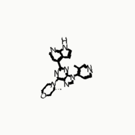 Cc1cnccc1-n1cnc2c(N3CCOC[C@H]3C)nc(-c3ccnc4[nH]ccc34)nc21